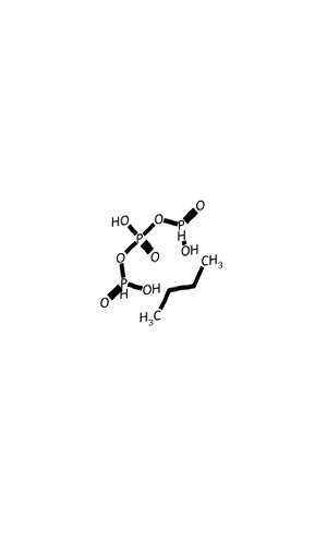 CCCC.O=[PH](O)OP(=O)(O)O[PH](=O)O